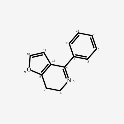 c1ccc(C2=NCCc3occc32)cc1